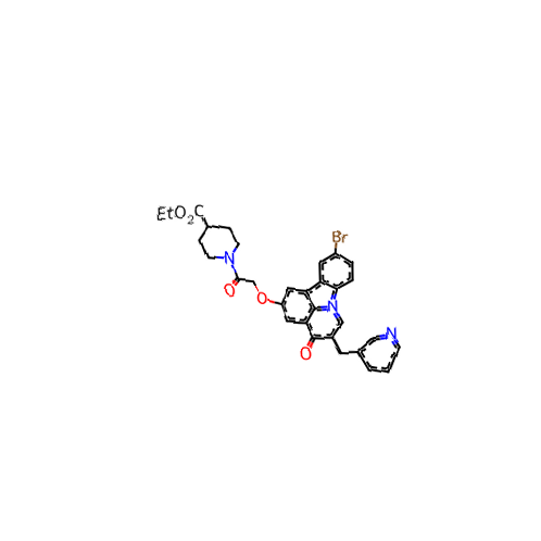 CCOC(=O)C1CCN(C(=O)COc2cc3c(=O)c(Cc4cccnc4)cn4c5ccc(Br)cc5c(c2)c34)CC1